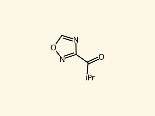 CC(C)C(=O)c1ncon1